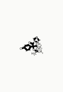 CC(C)C(O[Si](C)(C)C)(C(=O)n1cncn1)c1ccc(Cl)cc1